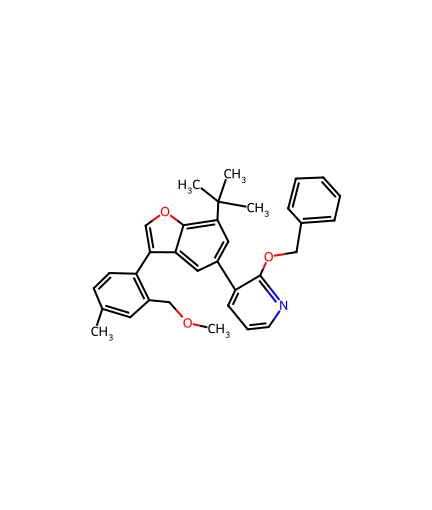 COCc1cc(C)ccc1-c1coc2c(C(C)(C)C)cc(-c3cccnc3OCc3ccccc3)cc12